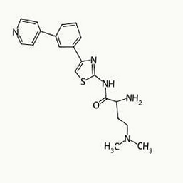 CN(C)CCC(N)C(=O)Nc1nc(-c2cccc(-c3ccncc3)c2)cs1